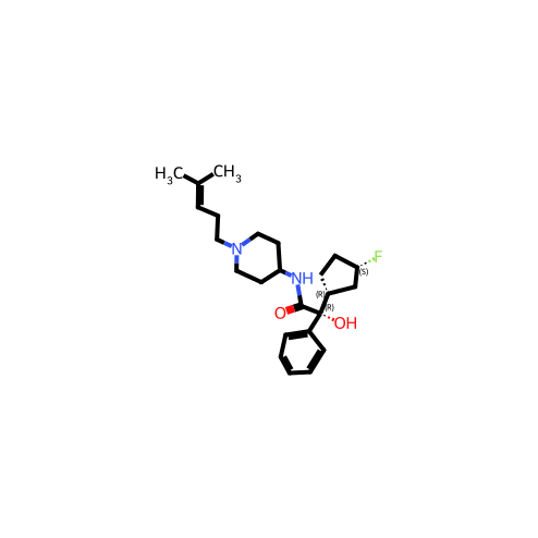 CC(C)=CCCN1CCC(NC(=O)[C@](O)(c2ccccc2)[C@@H]2CC[C@H](F)C2)CC1